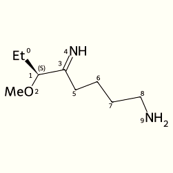 CC[C@H](OC)C(=N)CCCCN